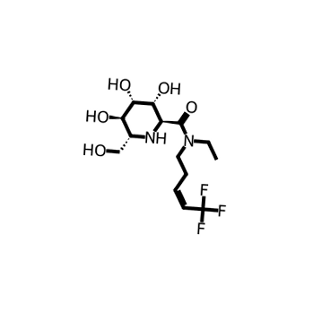 CCN(CC/C=C\C(F)(F)F)C(=O)[C@H]1N[C@H](CO)[C@@H](O)[C@H](O)[C@@H]1O